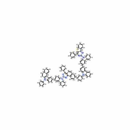 c1ccc(-c2nc(-n3c4ccccc4c4cc(-c5ccc6c(c5)c5c7ccccc7ccc5n6-c5ccccc5)ccc43)nc3c2ccc2cc(-c4cccc(-n5c6ccccc6c6cc(-c7ccc8c(c7)c7ccccc7n8-c7nc(-c8ccccc8)c8sc9ccccc9c8n7)ccc65)c4)ccc23)cc1